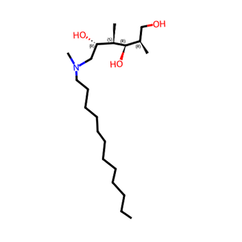 CCCCCCCCCCCCN(C)C[C@H](O)[C@@H](C)[C@H](O)[C@H](C)CO